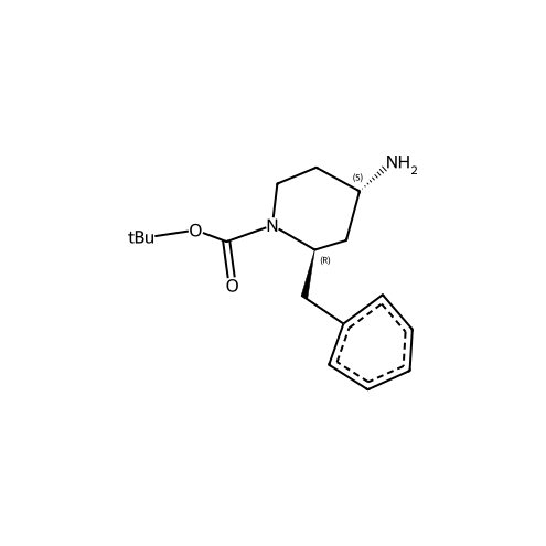 CC(C)(C)OC(=O)N1CC[C@H](N)C[C@H]1Cc1ccccc1